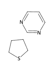 C1CCSC1.c1cncnc1